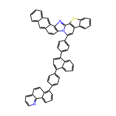 c1ccc2cc3c(ccc4c3nc3c5sc6ccccc6c5cc(-c5ccc(-c6ccc(-c7ccc(-c8cccc9c8ccc8cccnc89)cc7)c7ccccc67)cc5)n43)cc2c1